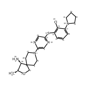 C[C@@H]1OCC2(CCN(c3cnc(Sc4cccc(N5CCCC5)c4Cl)cn3)CC2)[C@@H]1N